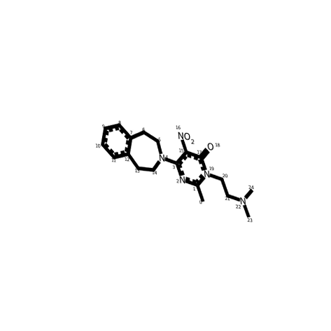 Cc1nc(N2CCc3ccccc3CC2)c([N+](=O)[O-])c(=O)n1CCN(C)C